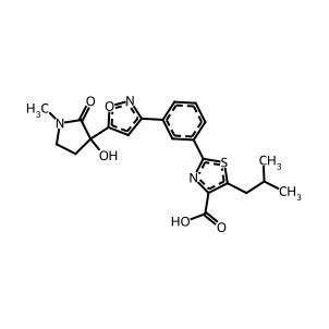 CC(C)Cc1sc(-c2cccc(-c3cc(C4(O)CCN(C)C4=O)on3)c2)nc1C(=O)O